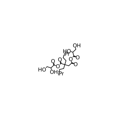 CC(C)CCC(CCC(C)C)(CC(=O)OC(=O)C(O)CO)C(=O)OC(=O)C(O)CO